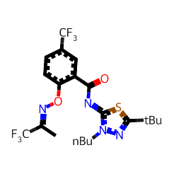 CCCCn1nc(C(C)(C)C)s/c1=N\C(=O)c1cc(C(F)(F)F)ccc1ON=C(C)C(F)(F)F